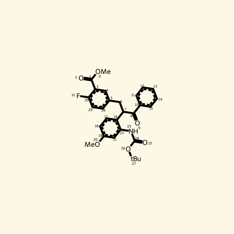 COC(=O)c1cc(CC(C(=O)c2ccccc2)c2ccc(OC)cc2NC(=O)OC(C)(C)C)ccc1F